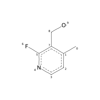 Cc1ccnc(F)c1C[O]